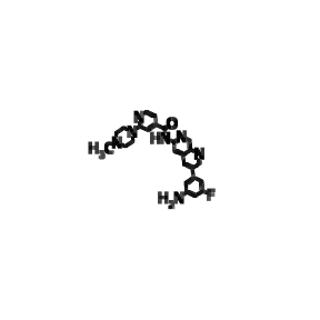 CN1CCN(c2cc(C(=O)Nc3cc4cc(-c5cc(N)cc(F)c5)cnc4cn3)ccn2)CC1